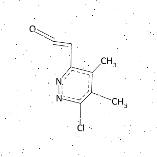 Cc1c(Cl)nnc(C=C=O)c1C